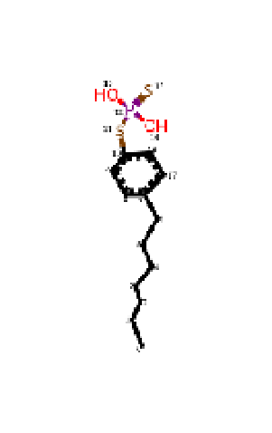 CCCCCCCc1ccc(SP(O)(O)=S)cc1